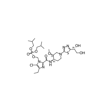 CCc1nc(C(=O)N[C@@H]2CCN(c3nnc([C@H](O)CO)s3)C[C@@H]2OC)n(COP(=O)(OCC(C)C)OCC(C)C)c1Cl